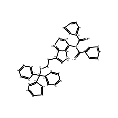 O=C(c1ccccc1)N(C(=O)c1ccccc1)c1ncnc2c(CCOC(c3ccccc3)(c3ccccc3)c3ccccc3)c[nH]c12